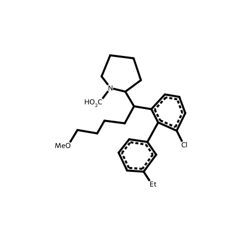 CCc1cccc(-c2c(Cl)cccc2C(CCCCOC)C2CCCCN2C(=O)O)c1